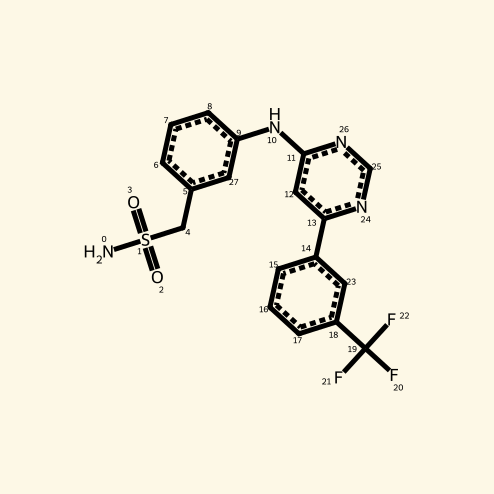 NS(=O)(=O)Cc1cccc(Nc2cc(-c3cccc(C(F)(F)F)c3)ncn2)c1